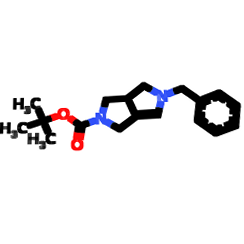 CC(C)(C)OC(=O)N1CC2=CN(Cc3ccccc3)CC2C1